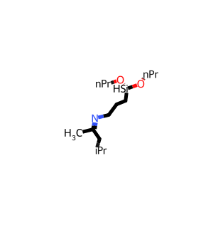 CCCO[SiH](CCCN=C(C)CC(C)C)OCCC